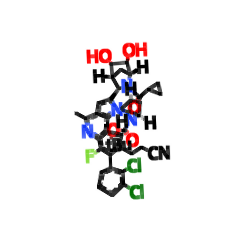 Cc1nc2c(F)c(-c3cccc(Cl)c3Cl)c(CCC#N)cc2c2c1cc([C@H]1[C@H]3C[C@H]([C@H](O)[C@@H]3O)N1C(=O)C1CC1)n2[C@H]1[C@@H]2C[C@H]1N(C(=O)OC(C)(C)C)C2